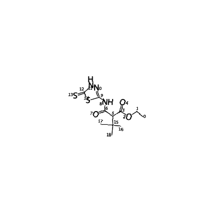 CCOC(=O)C(C(=O)Nc1n[nH]c(=S)s1)C(C)(C)C